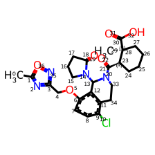 Cc1nc(COc2ccc(Cl)c3c2C(N2CCCC2=O)N(C(=O)[C@@H]2CCCC[C@]2(C)C(=O)O)CC3)no1